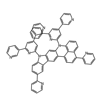 c1ccc(-c2cc(-c3cccnc3)cc(N3c4cc5c(cc4-c4ccc(-c6ccccn6)c6cccc3c46)c3cc(-c4ccccn4)ccc3n5-c3cc(-c4cccnc4)cc(-c4cccnc4)n3)n2)cc1